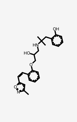 Cc1cc(/C=C\c2ccccc2OCC(O)CNC(C)(C)Cc2ccccc2O)on1